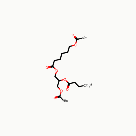 CCCC(=O)OCCCCCC(=O)OCC(COC(=O)C(C)CC)OC(=O)CCC(=O)O